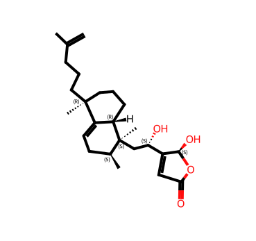 C=C(C)CCC[C@@]1(C)CCC[C@H]2C1=CC[C@H](C)[C@]2(C)C[C@H](O)C1=CC(=O)O[C@@H]1O